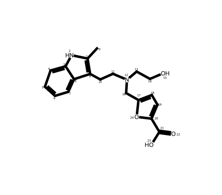 Cc1[nH]c2ccccc2c1CCN(CCO)Cc1ccc(C(=O)O)o1